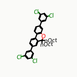 CCCCCCCCC1(CCCCCCCC)Oc2cc(-c3cc(Cl)cc(Cl)c3)ccc2-c2ccc(-c3cc(Cl)cc(Cl)c3)cc21